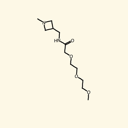 COCCOCCOCC(=O)NCC1CN(C)C1